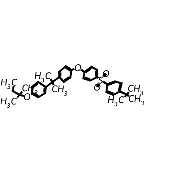 CCC(C)(C)Oc1ccc(C(C)(C)c2ccc(Oc3ccc(S(=O)(=O)c4ccc(C(C)(C)C)cc4)cc3)cc2)cc1